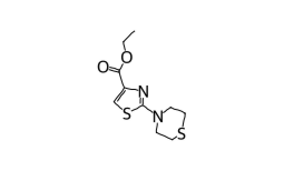 CCOC(=O)c1csc(N2CCSCC2)n1